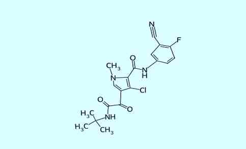 Cn1cc(C(=O)C(=O)NC(C)(C)C)c(Cl)c1C(=O)Nc1ccc(F)c(C#N)c1